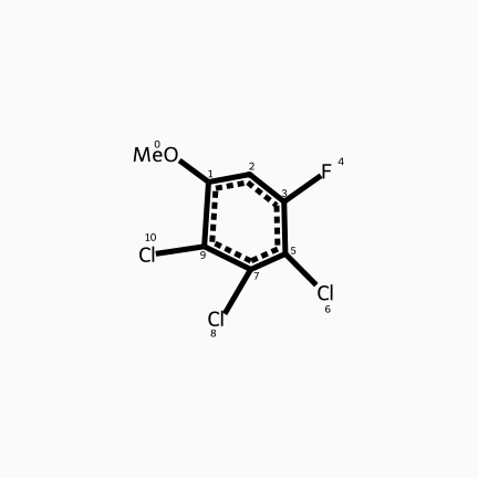 COc1cc(F)c(Cl)c(Cl)c1Cl